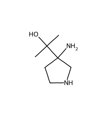 CC(C)(O)C1(N)CCNC1